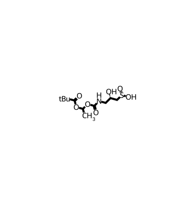 CC(OC(=O)NC[C@H](O)CS(=O)O)OC(=O)C(C)(C)C